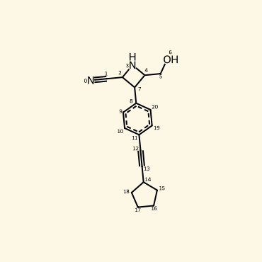 N#CC1NC(CO)C1c1ccc(C#CC2CCCC2)cc1